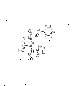 O=CN(c1nccs1)C1CN(C(=O)OCc2ccccc2)CCC1O